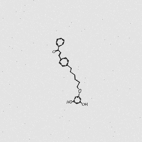 O=C(C=Cc1ccc(CCCCCCOc2cc(O)cc(O)c2)cc1)c1ccccc1